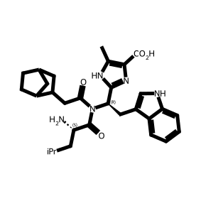 Cc1[nH]c([C@@H](Cc2c[nH]c3ccccc23)N(C(=O)CC2CC3CCC2C3)C(=O)[C@@H](N)CC(C)C)nc1C(=O)O